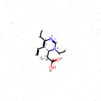 C=C/C=C(CC)/N=C\N(CC)C[C@@H](C)C(=O)O